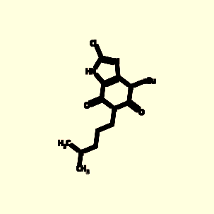 CCCCn1c(=O)n(CCCN(C)C)c(=O)c2[nH]c(Cl)nc21